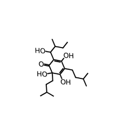 CCC(C)C(O)C1=C(O)C(CCC(C)C)=C(O)C(O)(CCC(C)C)C1=O